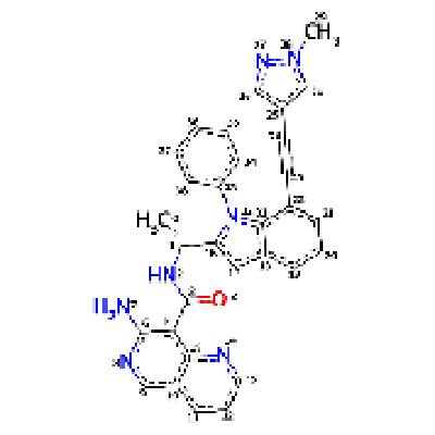 C[C@@H](NC(=O)c1c(N)ncc2cccnc12)c1cc2cccc(C#Cc3cnn(C)c3)c2n1-c1ccccc1